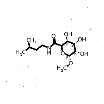 CO[C@@H]1OC(C(=O)NCCC(C)C)[C@@H](O)[C@H](O)[C@@H]1O